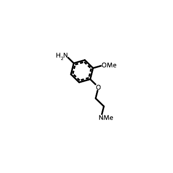 CNCCOc1ccc(N)cc1OC